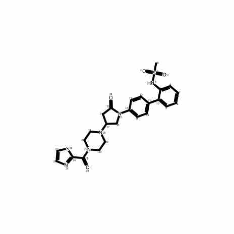 CS(=O)(=O)Nc1ccccc1-c1ccc(N2CC(N3CCN(C(=O)c4nccs4)CC3)CC2=O)cc1